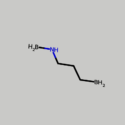 BCCCNB